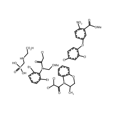 CC1COc2ccccc2N1C(=O)C(Cl)Cl.CCc1cccc(CC)c1N(COC)C(=O)CCl.COC(=O)c1cc(Oc2ccc(Cl)cc2Cl)ccc1[N+](=O)[O-].O=C(O)CNCP(=O)(O)O